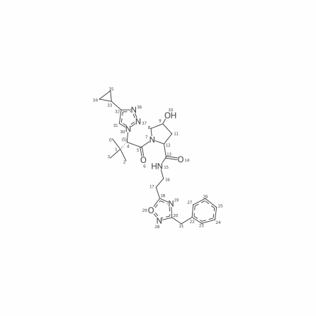 CC(C)(C)[C@@H](C(=O)N1CC(O)CC1C(=O)NCCc1nc(Cc2ccccc2)no1)n1cc(C2CC2)nn1